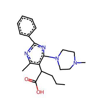 CCCC(C(=O)O)c1c(C)nc(-c2ccccc2)nc1N1CCN(C)CC1